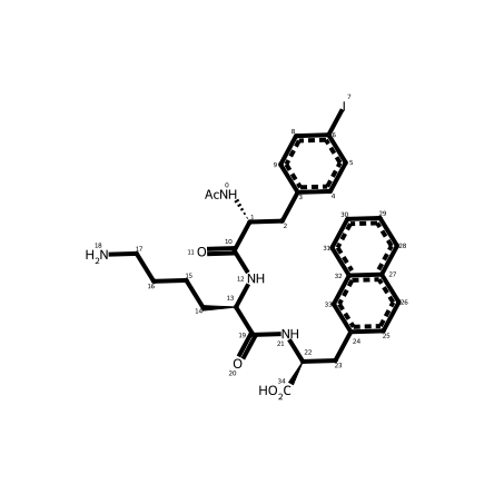 CC(=O)N[C@H](Cc1ccc(I)cc1)C(=O)N[C@H](CCCCN)C(=O)N[C@@H](Cc1ccc2ccccc2c1)C(=O)O